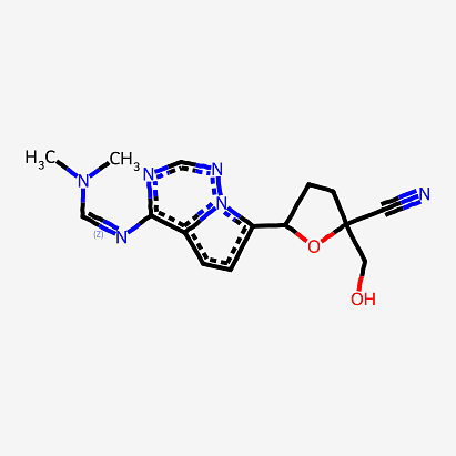 CN(C)/C=N\c1ncnn2c(C3CCC(C#N)(CO)O3)ccc12